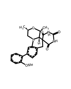 COc1ccccc1-c1ccc2c(c1)N1C[C@@H](C)O[C@@H](C)[C@@H]1C1(C2)C(=O)NC(=O)NC1=O